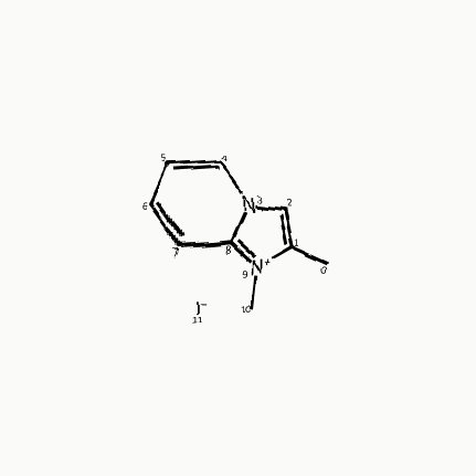 Cc1cn2ccccc2[n+]1C.[I-]